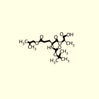 CC(C)COC(=O)CC[C@H](NC(=O)OC(C)(C)C)C(=O)O[C@@H](C)C(=O)O